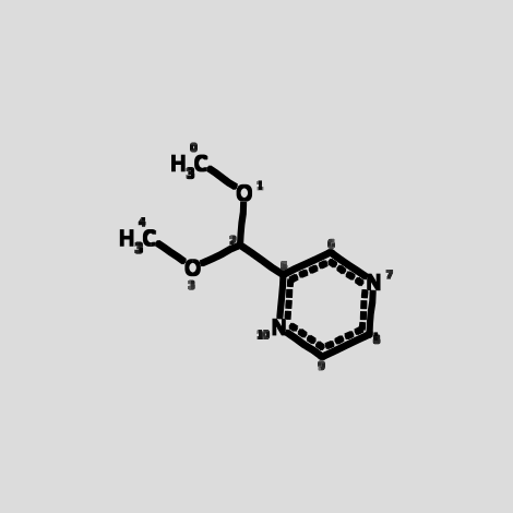 COC(OC)c1cn[c]cn1